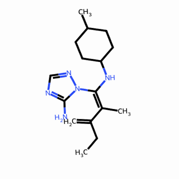 C=C(CC)/C(C)=C(/NC1CCC(C)CC1)n1ncnc1N